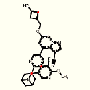 COc1ncc(CN2C3CC2CN(c2ccc(-c4cc(OCC56CC(O)(C5)C6)cn5ncc(C#N)c45)cn2)C3)cc1F